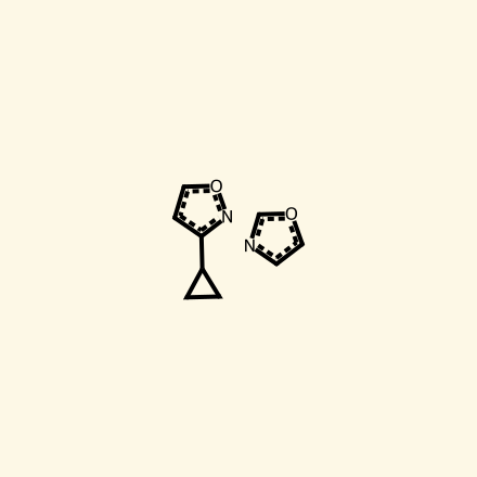 c1cc(C2CC2)no1.c1cocn1